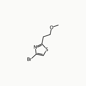 COCCc1nc(Br)cs1